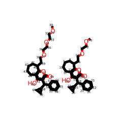 COCCOCCC1CCCCc2c1oc(=O)c(C(c1ccccc1)C1CC1)c2O.COCCOCCOCCC1CCCCc2c1oc(=O)c(C(c1ccccc1)C1CC1)c2O